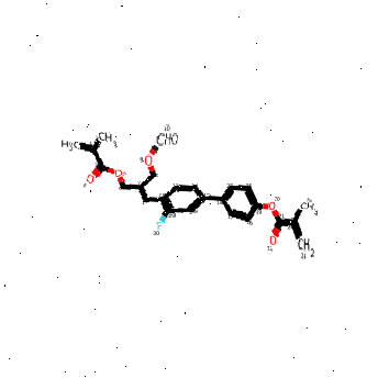 C=C(C)C(=O)OCC(COC=O)Cc1ccc(-c2ccc(OC(=O)C(=C)C)cc2)cc1F